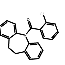 O=C(c1ccccc1Cl)N1c2ccccc2CCc2ccccc21